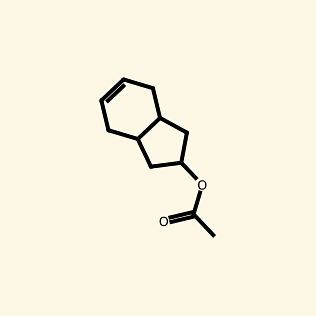 CC(=O)OC1CC2CC=CCC2C1